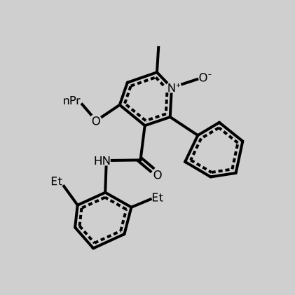 CCCOc1cc(C)[n+]([O-])c(-c2ccccc2)c1C(=O)Nc1c(CC)cccc1CC